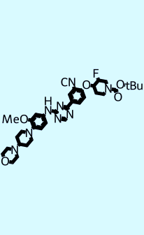 COc1cc(Nc2ncnc(-c3ccc(OC4CCN(C(=O)OC(C)(C)C)CC4F)c(C#N)c3)n2)ccc1N1CCC(N2CCOCC2)CC1